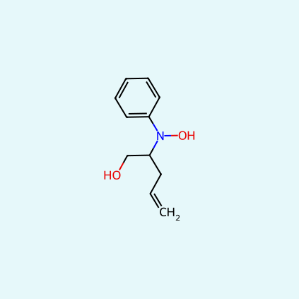 C=CCC(CO)N(O)c1ccccc1